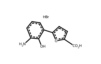 Br.Nc1cccc(-c2ccc(C(=O)O)o2)c1O